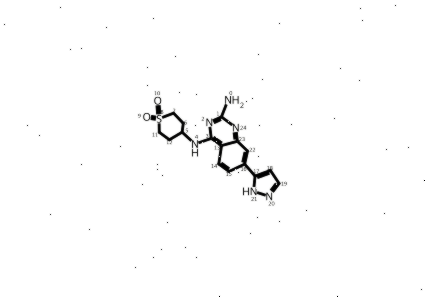 Nc1nc(NC2CCS(=O)(=O)CC2)c2ccc(-c3ccn[nH]3)cc2n1